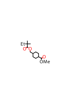 CCC(C)(C)C(=O)OCC1CCC(C(=O)OC)CC1